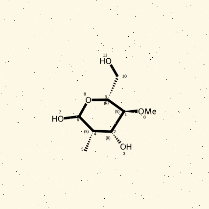 CO[C@H]1[C@H](O)[C@H](C)C(O)O[C@@H]1CO